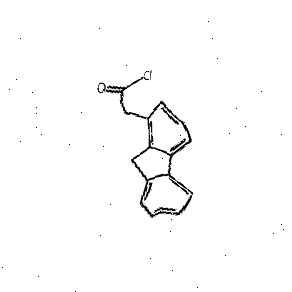 O=C(Cl)Cc1cccc2c1Cc1ccccc1-2